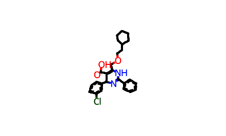 O=C(O)C1=C(COCCC2CCCCC2)NC(c2ccccc2)=NC1c1cccc(Cl)c1